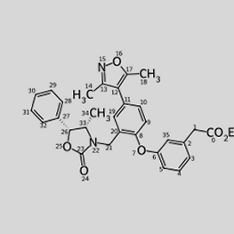 CCOC(=O)Cc1cccc(Oc2ccc(-c3c(C)noc3C)cc2CN2C(=O)O[C@H](c3ccccc3)[C@@H]2C)c1